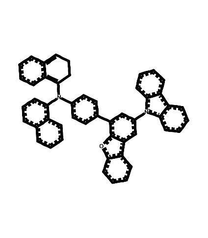 C1=c2ccccc2=C(N(c2ccc(-c3cc(-n4c5ccccc5c5ccccc54)cc4c3oc3ccccc34)cc2)c2cccc3ccccc23)CC1